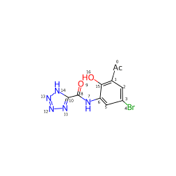 CC(=O)c1cc(Br)cc(NC(=O)c2nnn[nH]2)c1O